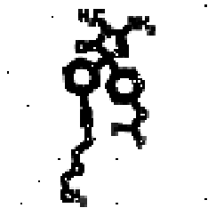 CCOCCC#Cc1cccc(C2(c3ccc(OC(F)F)cc3)N=C(N)N(C)C2=O)c1